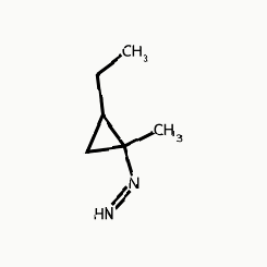 CCC1CC1(C)N=N